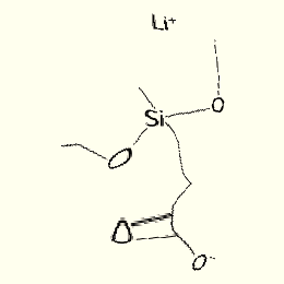 CO[Si](C)(CC(=O)[O-])OC.[Li+]